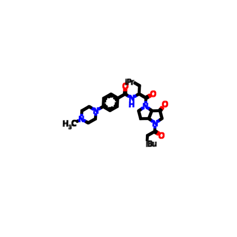 CCC(C)CC(=O)N1CC(=O)C2C1CCN2C(=O)C(CC(C)C)NC(=O)c1ccc(N2CCN(C)CC2)cc1